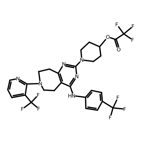 O=C(OC1CCN(c2nc3c(c(Nc4ccc(C(F)(F)F)cc4)n2)CCN(c2ncccc2C(F)(F)F)CC3)CC1)C(F)(F)F